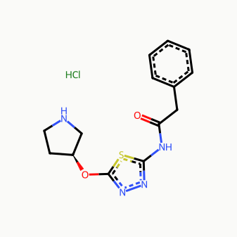 Cl.O=C(Cc1ccccc1)Nc1nnc(O[C@H]2CCNC2)s1